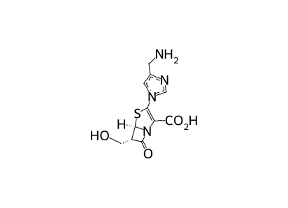 NCc1cn(C2=C(C(=O)O)N3C(=O)[C@H](CO)[C@H]3S2)cn1